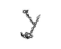 C=CCOCCOCCOCC(COCCOCCOCCO/N=C/c1cn(C)c2ccccc12)OCCOCCOCCN1Cc2ccccc2C2C(N=NN2c2ccc(N=C=S)cc2)c2ccccc21